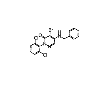 O=c1c(Br)c(NCc2ccccc2)cnn1-c1c(Cl)cccc1Cl